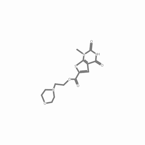 Cn1c(=O)[nH]c(=O)c2cc(C(=O)OCCN3CCOCC3)sc21